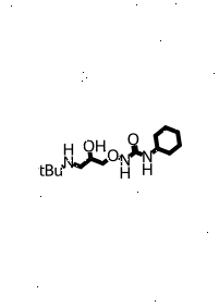 CC(C)(C)NCC(O)CONC(=O)NC1CCCCC1